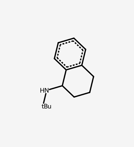 CC(C)(C)NC1CCCc2ccccc21